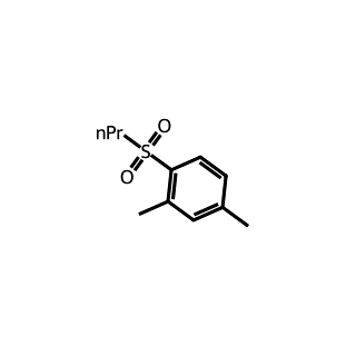 CCCS(=O)(=O)c1ccc(C)cc1C